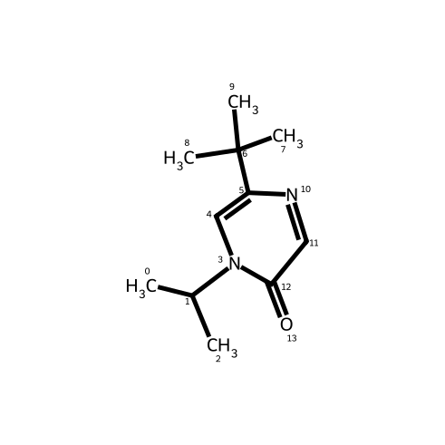 CC(C)n1cc(C(C)(C)C)ncc1=O